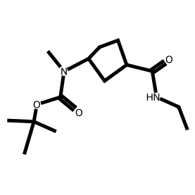 CCNC(=O)C1CCC(N(C)C(=O)OC(C)(C)C)C1